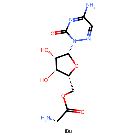 CC[C@H](C)[C@H](N)C(=O)OC[C@H]1O[C@@H](n2ncc(N)nc2=O)[C@@H](O)[C@H]1O